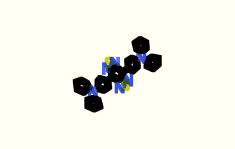 c1ccc(N(c2ccccc2)c2ccc(-c3c4c(c(-c5ccc(N(c6ccccc6)c6ccccc6)cc5)c5nsnc35)N=S=N4)cc2)cc1